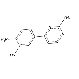 Cc1nccc(-c2ccc(N)c(N=O)c2)n1